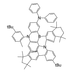 Cc1cc2c3c(c1)N(c1ccc(C(C)(C)C)cc1-c1ccc4c(c1)C(C)(C)CC4(C)C)c1cc4c(cc1B3c1cc(N(c3ccccc3)c3ccccc3)ccc1N2c1cc(C(C)(C)C)ccc1C)C(C)(C)CCC4(C)C